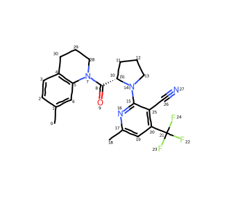 Cc1ccc2c(c1)N(C(=O)[C@@H]1CCCN1c1nc(C)cc(C(F)(F)F)c1C#N)CCC2